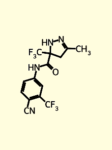 CC1=NNC(C(=O)Nc2ccc(C#N)c(C(F)(F)F)c2)(C(F)(F)F)C1